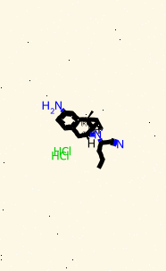 CCCC(C#N)N1CC[C@@]2(C)c3cc(N)ccc3C[C@@H]1[C@H]2C.Cl.Cl